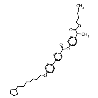 CCCCCOC(=O)C(C)c1ccc(OC(=O)c2ccc(-c3ccc(OCCCCCCCC4CCCC4)cc3)cc2)cc1